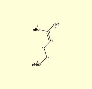 CC[CH]C(=CCCCCCCCC)CCCC